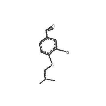 CC(C)COc1ccc(C=O)cc1Cl